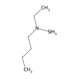 CCCCN([SiH3])CC